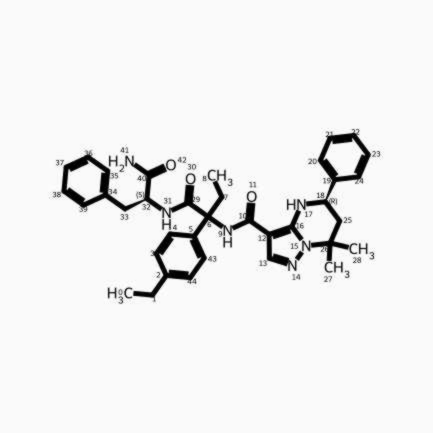 CCc1ccc(C(CC)(NC(=O)c2cnn3c2N[C@@H](c2ccccc2)CC3(C)C)C(=O)N[C@@H](Cc2ccccc2)C(N)=O)cc1